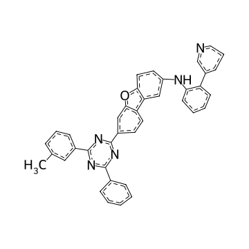 Cc1cccc(-c2nc(-c3ccccc3)nc(-c3ccc4c(c3)oc3ccc(Nc5ccccc5-c5cccnc5)cc34)n2)c1